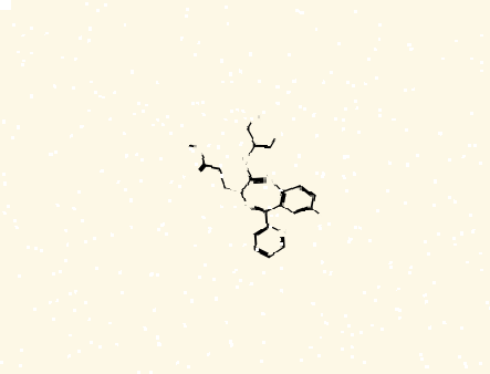 COC(=O)CC[C@@H]1N=C(c2ccccn2)c2cc(Cl)ccc2N=C1NC(CO)CO